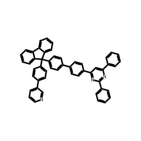 c1ccc(-c2cc(-c3ccc(-c4ccc(C5(c6ccc(-c7cccnc7)cc6)c6ccccc6-c6ccccc65)cc4)cc3)nc(-c3ccccc3)n2)cc1